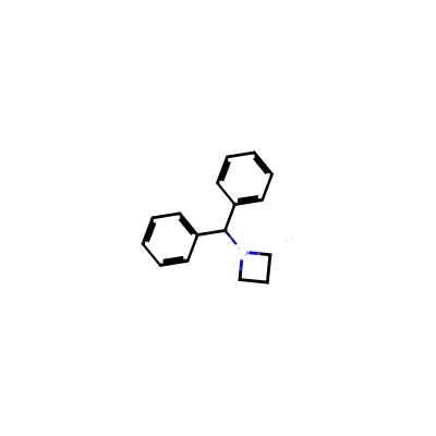 C[C@@H]1[CH]CN1C(c1ccccc1)c1ccccc1